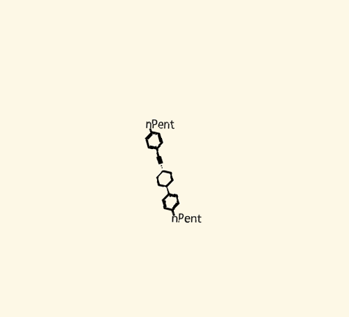 CCCCCc1ccc(C#C[C@H]2CC[C@H](c3ccc(CCCCC)cc3)CC2)cc1